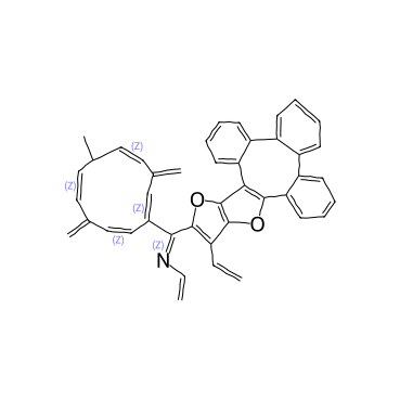 C=C/N=C(C1=C\C(=C)/C=C\C(C)/C=C\C(=C)/C=C\1)\c1oc2c3c(oc2c1C=C)-c1ccccc1-c1ccccc1-c1ccccc1-3